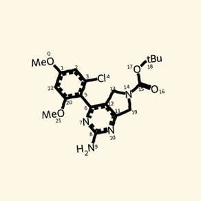 COc1cc(Cl)c(-c2nc(N)nc3c2CN(C(=O)OC(C)(C)C)C3)c(OC)c1